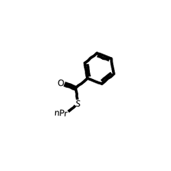 CCCSC(=O)c1ccccc1